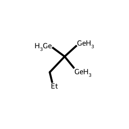 CCC[C]([GeH3])([GeH3])[GeH3]